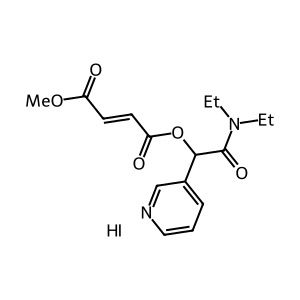 CCN(CC)C(=O)C(OC(=O)/C=C/C(=O)OC)c1cccnc1.I